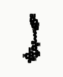 Cn1ncnc1C1c2n[nH]c(=O)c3cc(F)cc(c23)N[C@@H]1c1ccc(NC(=O)CCCCCO[C@H]2CC[C@H]3[C@@H]4CCc5cc(O)ccc5[C@H]4CC[C@]23C)cc1